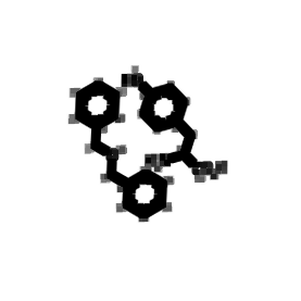 NC(Cc1ccc(O)cc1)C(=O)O.c1ccc(COCc2ccccc2)cc1